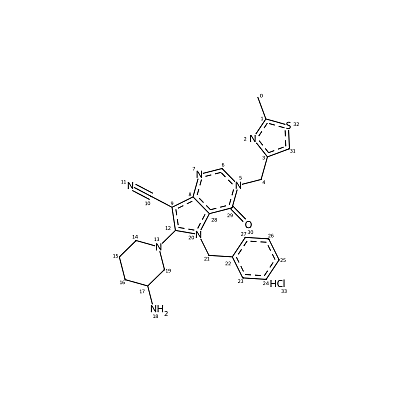 Cc1nc(Cn2cnc3c(C#N)c(N4CCCC(N)C4)n(Cc4ccccc4)c3c2=O)cs1.Cl